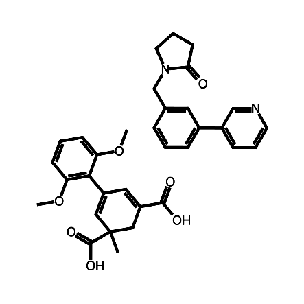 COc1cccc(OC)c1C1=CC(C)(C(=O)O)CC(C(=O)O)=C1.O=C1CCCN1Cc1cccc(-c2cccnc2)c1